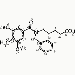 COc1cc(C(=O)N(CCCCC(=O)O)Cc2ccccc2)cc(OC)c1C